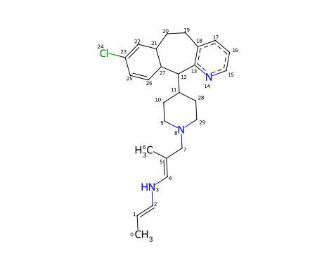 CC=CN/C=C(\C)CN1CCC(C2c3ncccc3CCC3C=C(Cl)C=CC32)CC1